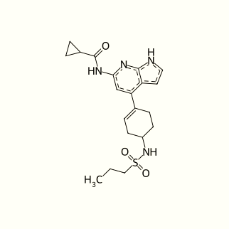 CCCS(=O)(=O)NC1CC=C(c2cc(NC(=O)C3CC3)nc3[nH]ccc23)CC1